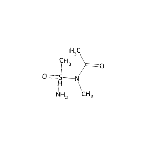 CC(=O)N(C)[SH](C)(N)=O